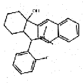 CN(C)C(c1ccccc1Cl)C1CCCCC1(O)c1ccc2ccccc2c1